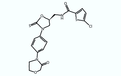 O=C(NC[C@H]1CN(c2ccc(N3CCOCC3=O)cc2)C(=S)O1)c1ccc(Cl)s1